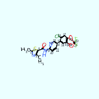 Cc1nc(C)c(C(=O)Nc2ccc(-c3cc4c(cc3Cl)OC(F)(F)O4)cn2)s1